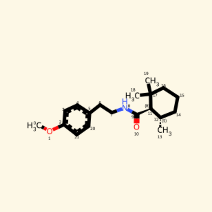 COc1ccc(CCNC(=O)[C@@H]2[C@@H](C)CCCC2(C)C)cc1